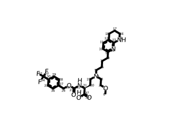 COCCN(CCCCc1ccc2c(n1)NCCC2)CC[C@H](NC(=O)OCc1ccc(C(F)(F)F)cc1)C(=O)O